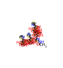 CC(=O)Nc1nc(CCC(O)(P(=O)(O)O)P(=O)(O)O)cs1.O=P(O)(O)C(O)(CCc1cncs1)P(=O)(O)O.O=P(O)(O)C(O)(CCc1cscn1)P(=O)(O)O.O=P(O)(O)C(O)(CCc1nccs1)P(=O)(O)O